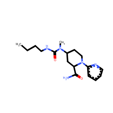 CCCCNC(=O)N(C)C1CCN(c2cc[c]cn2)C(C(N)=O)C1